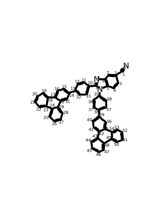 N#Cc1ccc2c(c1)nc(-c1ccc(-c3ccc4c5ccccc5c5ccccc5c4c3)cc1)n2-c1ccc(-c2ccc3c4ccccc4c4ccccc4c3c2)cc1